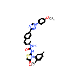 Cc1ccc(C(C)C)c(N2C(=O)CS/C2=N\C(=O)NC(C)/C=C\c2ccc(-c3ncn(-c4ccc(OC(F)(F)F)cc4)n3)cc2)c1